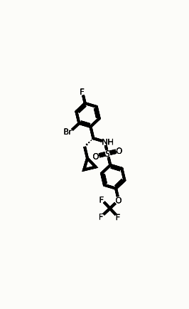 O=S(=O)(N[C@H](CC1CC1)c1ccc(F)cc1Br)c1ccc(OC(F)(F)F)cc1